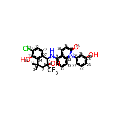 CC1(C)CC(O)(C(F)(F)F)C(Nc2cccc3c2ccc(=O)n3-c2cccc(O)c2)c2ccc(Cl)c(O)c21